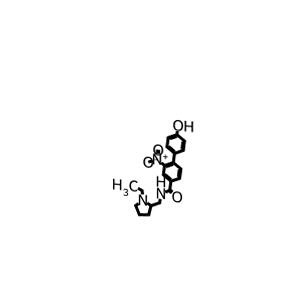 CCN1CCCC1CNC(=O)c1ccc(-c2ccc(O)cc2)c([N+](=O)[O-])c1